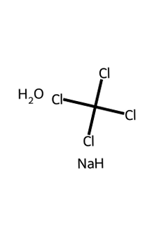 ClC(Cl)(Cl)Cl.O.[NaH]